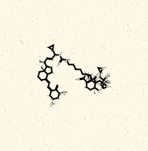 C=C1/C(=C\C=C2/CCC[C@@]3(C)C2CCC3[C@@H](C)/C=C/C(OC(=O)NCCCCCCNC(=O)O[C@@H]([C@@]23C[C@@]4(C)CCC5=C(COC5=O)[C@@H]4C[C@@H]2O3)[C@@](O)(C[C@H]2CO2)C(C)C)C2CC2)C[C@@H](O)C[C@@H]1O